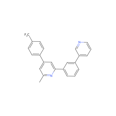 Cc1cc(-c2ccc(C(F)(F)F)cc2)cc(-c2cccc(-c3cccnc3)c2)n1